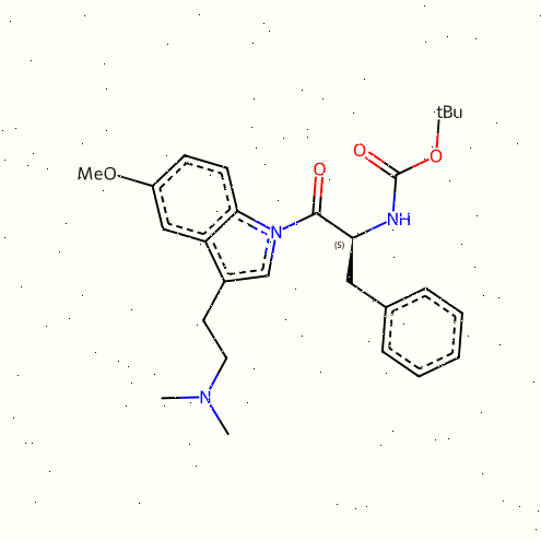 COc1ccc2c(c1)c(CCN(C)C)cn2C(=O)[C@H](Cc1ccccc1)NC(=O)OC(C)(C)C